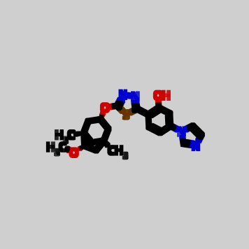 CO[C@H]1C[C@@]2(C)C[C@H](Oc3nnc(-c4ccc(-n5ccnc5)cc4O)s3)C[C@]1(C)C2